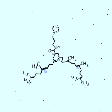 C=C(CC/C=C(\C)CCC=C(C)C)CC[C@H]1C=C(CC/C=C(\C)CCC=C(C)C)C[C@@H](C(=O)NCCCN2CCOCC2)C1